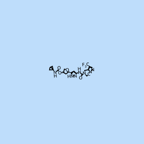 O=C(NC12CC(C1)C2)O[C@H]1CO[C@@H](c2cc(NC(=O)N3CCn4ncc(C(F)(F)F)c4C3)n[nH]2)C1